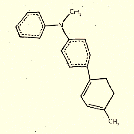 CC1=CC=C(c2ccc(N(C)c3ccccc3)cc2)CC1